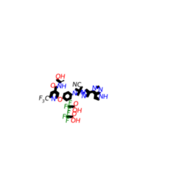 C[C@H](CO)NC(=O)c1cc(O[C@H]2CC[C@@H](N3CC(CC#N)(n4cc(-c5ncnc6[nH]ccc56)cn4)C3)CC2)nc(C(F)(F)F)c1.O=C(O)C(F)(F)F.O=C(O)C(F)(F)F